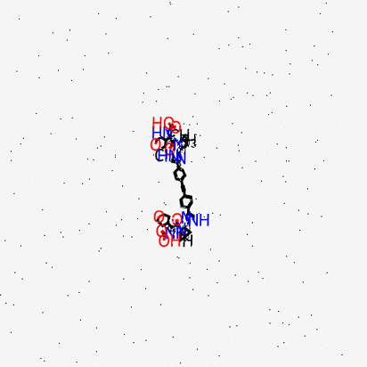 CC1CC([C@](C)(NC(=O)O)C(=O)N2C3C[C@H]3C[C@H]2c2nc(-c3ccc(C#Cc4ccc(-c5c[nH]c([C@@H]6C[C@@H]7CC7N6C(=O)[C@@H](NC(=O)O)C6CCOCC6)n5)cc4)cc3)c[nH]2)CCO1